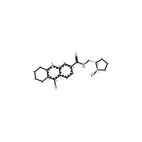 CCN1CCC[C@H]1CNC(=O)c1ccc2c(Cl)c3c(nc2c1)CCCC3